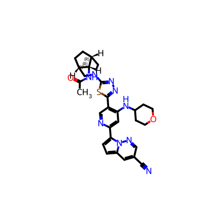 CC(=O)N[C@H]1[C@@H]2CC[C@H]1CN(c1nnc(-c3cnc(-c4ccc5cc(C#N)cnn45)cc3NC3CCOCC3)s1)C2